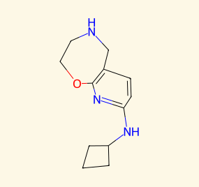 c1cc2c(nc1NC1CCC1)OCCNC2